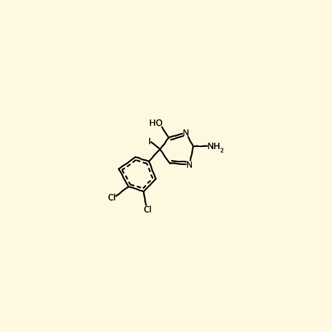 NC1N=CC(I)(c2ccc(Cl)c(Cl)c2)C(O)=N1